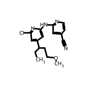 CCC(CCOC)c1cc(Cl)nc(Nc2cc(C#N)ccn2)c1